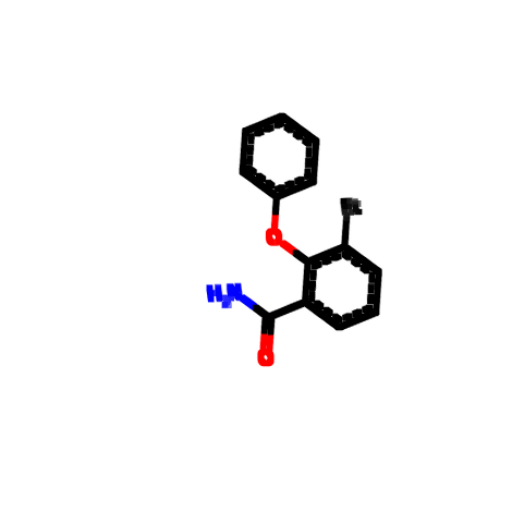 CCc1cccc(C(N)=O)c1Oc1ccccc1